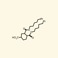 CC(C)CCCCCOC(=O)C1CCC(C(=O)O)CC1C(=O)OCCCCCC(C)C